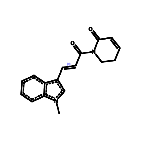 Cn1cc(/C=C/C(=O)N2CCC=CC2=O)c2ccccc21